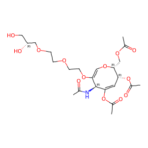 CC(=O)N[C@H]1C(OCCOCCOC[C@H](O)CO)=CO[C@H](COC(C)=O)[C@H](OC(C)=O)C=C1OC(C)=O